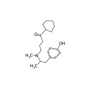 CC(Cc1ccc(O)cc1)N(C)CCCC(=O)C1CCCCC1